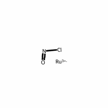 O=NCl.[Ru+3]